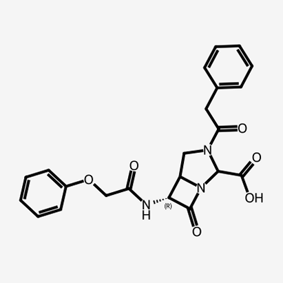 O=C(COc1ccccc1)N[C@H]1C(=O)N2C1CN(C(=O)Cc1ccccc1)C2C(=O)O